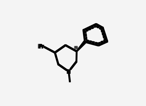 CC(C)C1C[C@@H](c2ccccc2)CN(C)C1